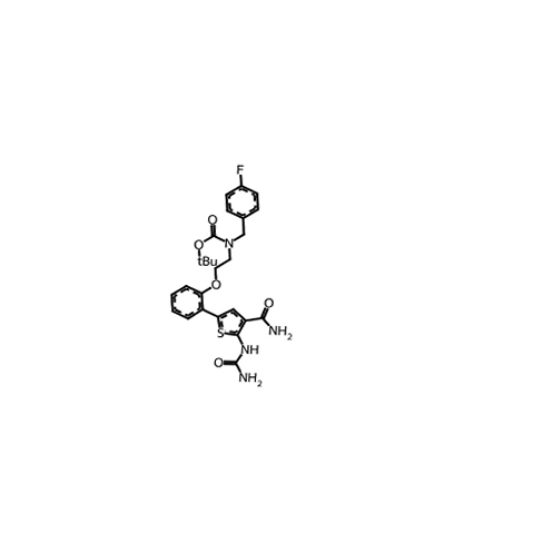 CC(C)(C)OC(=O)N(CCOc1ccccc1-c1cc(C(N)=O)c(NC(N)=O)s1)Cc1ccc(F)cc1